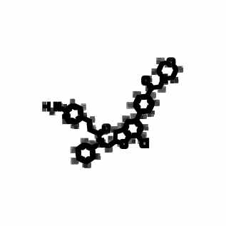 Nc1ccc(/C=C/C(=O)N(CC2Cc3cc(-c4ccc(C(=O)CN5CCOCC5)cc4)cc(Cl)c3O2)c2ccccc2)cn1